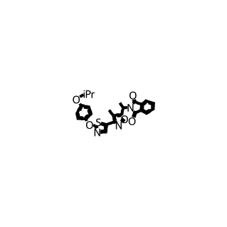 Cc1c(-c2cnc(Oc3ccc(OC(C)C)cc3)s2)noc1C(C)N1C(=O)c2ccccc2C1=O